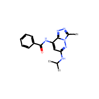 CCC(CC)Nc1cc(NC(=O)c2ccccc2)c2nnc(C(C)C)n2n1